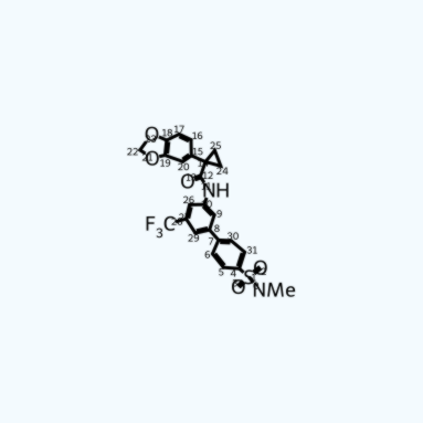 CNS(=O)(=O)c1ccc(-c2cc(NC(=O)C3(c4ccc5c(c4)OCO5)CC3)cc(C(F)(F)F)c2)cc1